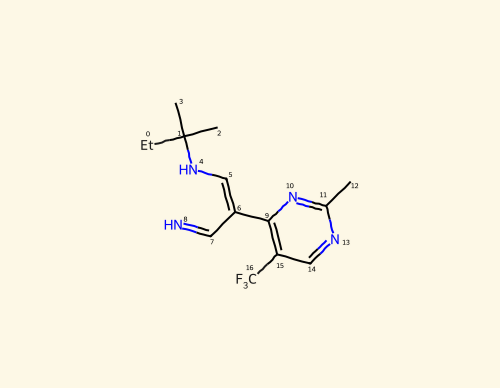 CCC(C)(C)N/C=C(\C=N)c1nc(C)ncc1C(F)(F)F